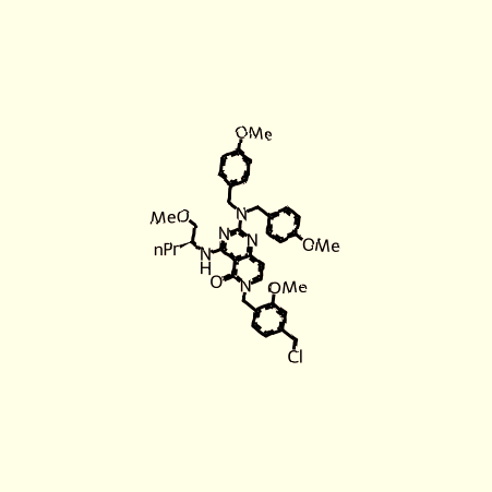 CCC[C@@H](COC)Nc1nc(N(Cc2ccc(OC)cc2)Cc2ccc(OC)cc2)nc2ccn(Cc3ccc(CCl)cc3OC)c(=O)c12